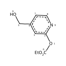 CCOC(=O)Oc1cc(CO)ccn1